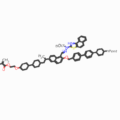 C=C(C(=O)OCCOC1CCC(C2CCC(CC(C)c3ccc4c(/C=N/N(CCCCCCCC)C5Nc6c(ccc7ccccc67)S5)c(OCc5ccc(-c6ccc(C7CCC(CCCCC)CC7)cc6)cc5)ccc4c3)CC2)CC1)C(F)(F)F